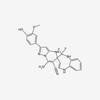 COc1cc(-c2cc3n(n2)C(N)=C(C#N)C2(/C=C/Nc4ccccc4BC2(F)F)N3)ccc1O